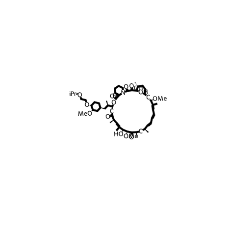 CO[C@H]1C[C@@H]2CC[C@@H](C)[C@@](O)(O2)C(=O)C(=O)N2CCCC[C@H]2C(=O)O[C@H]([C@H](C)C[C@@H]2CC[C@@H](OCCOC(C)C)[C@H](OC)C2)CC(=O)[C@H](C)/C=C(\C)[C@@H](O)[C@@H](OC)C(=O)[C@H](C)C[C@H](C)/C=C/C=C/C=C/1C